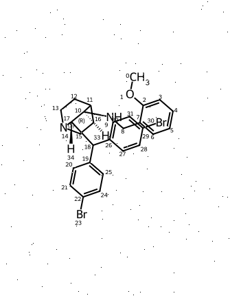 COc1ccccc1CN[C@@H]1C2CCN(CC2)[C@H]1C(c1ccc(Br)cc1)c1ccc(Br)cc1